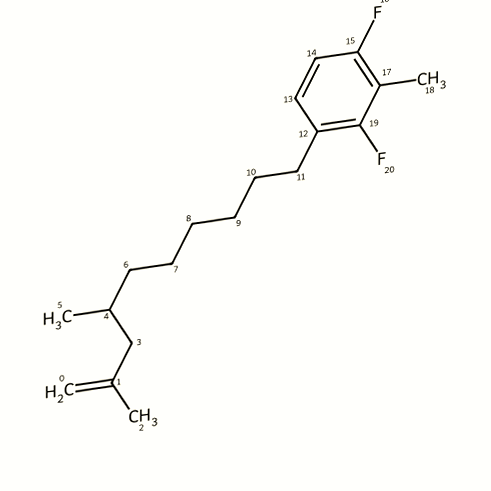 C=C(C)CC(C)CCCCCCc1ccc(F)c(C)c1F